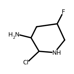 NC1CC(F)CNC1Cl